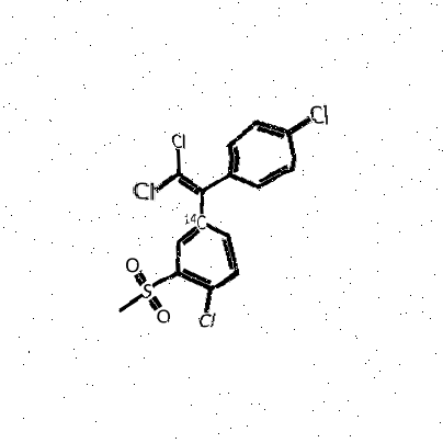 CS(=O)(=O)c1c[14c](C(=C(Cl)Cl)c2ccc(Cl)cc2)ccc1Cl